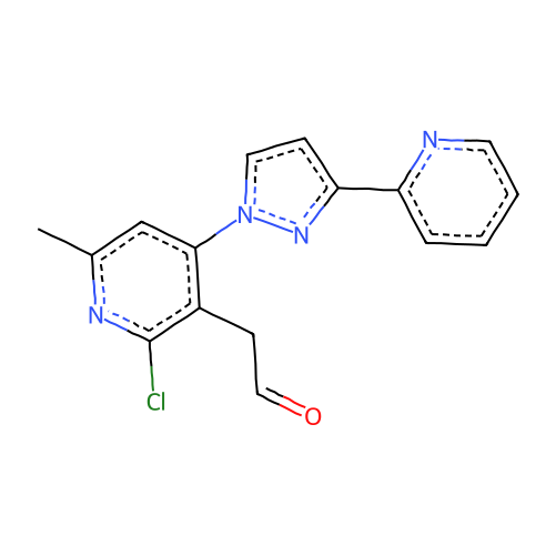 Cc1cc(-n2ccc(-c3ccccn3)n2)c(CC=O)c(Cl)n1